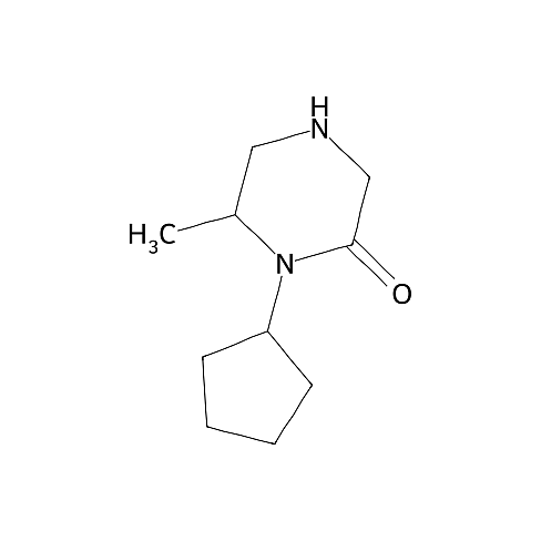 CC1CNCC(=O)N1C1CCCC1